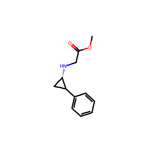 COC(=O)CN[C@H]1CC1c1ccccc1